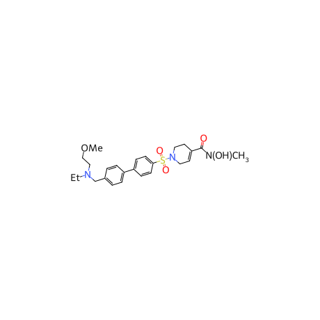 CCN(CCOC)Cc1ccc(-c2ccc(S(=O)(=O)N3CC=C(C(=O)N(C)O)CC3)cc2)cc1